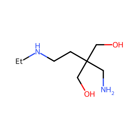 CCNCCC(CN)(CO)CO